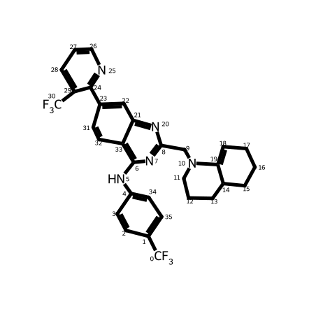 FC(F)(F)c1ccc(Nc2nc(CN3CCCC4CCCC=C43)nc3cc(-c4ncccc4C(F)(F)F)ccc23)cc1